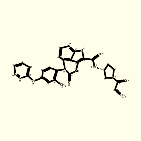 C=CC(=O)N1CC[C@@H](NC(=O)c2sc3nccc4c3c2NC(=O)N4c2ccc(Oc3cccnn3)cc2C)C1